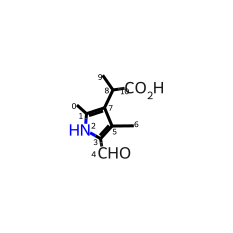 Cc1[nH]c(C=O)c(C)c1C(C)C(=O)O